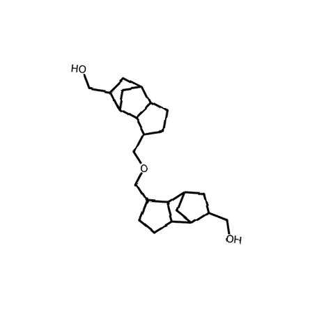 OCC1CC2CC1C1CCC(COCC3CCC4C5CC(CO)C(C5)C34)C21